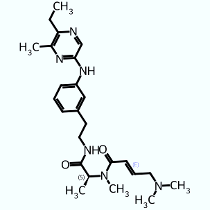 CCc1ncc(Nc2cccc(CCNC(=O)[C@H](C)N(C)C(=O)/C=C/CN(C)C)c2)nc1C